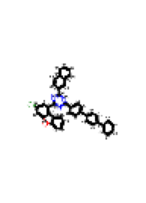 Clc1cc(-c2nc(-c3ccc(-c4ccc(-c5ccccc5)cc4)cc3)nc(-c3ccc4ccccc4c3)n2)c2c(c1)oc1ccccc12